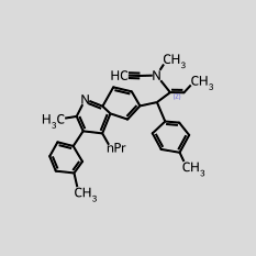 C#CN(C)/C(=C\C)C(c1ccc(C)cc1)c1ccc2nc(C)c(-c3cccc(C)c3)c(CCC)c2c1